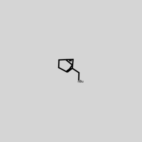 CCCCCC1=C2CCC(=C1)C2